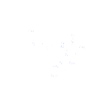 [C-]#[N+]c1c(C)cc(Nc2cc(C)[nH]n2)nc1NCCOc1ccc(CC)nc1